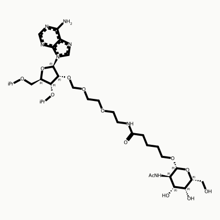 CC(=O)N[C@H]1[C@H](OCCCCC(=O)NCCOCCOCO[C@@H]2[C@H](OC(C)C)[C@@H](COC(C)C)O[C@H]2n2cnc3c(N)ncnc32)O[C@H](CO)[C@H](O)[C@@H]1O